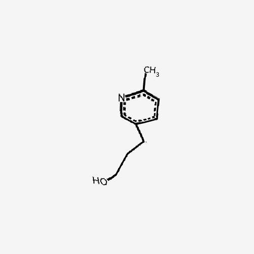 Cc1ccc([CH]CCO)cn1